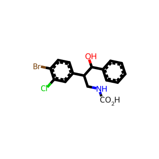 O=C(O)NCC(c1ccc(Br)c(Cl)c1)C(O)c1ccccc1